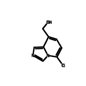 OCc1ccc(Cl)n2cncc12